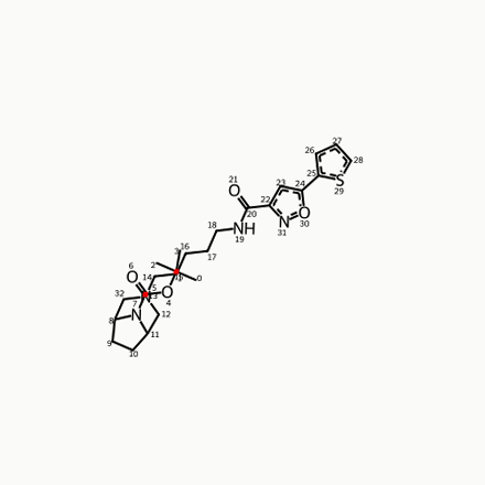 CC(C)(C)OC(=O)N1C2CCC1CN(CCCCCNC(=O)c1cc(-c3cccs3)on1)C2